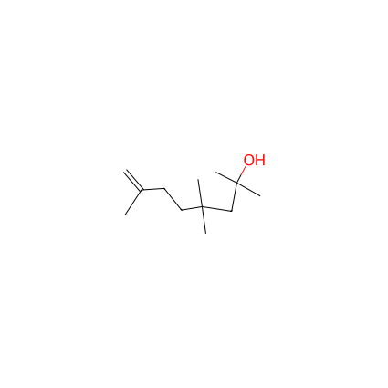 C=C(C)CCC(C)(C)CC(C)(C)O